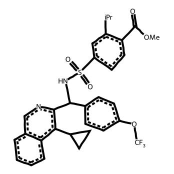 COC(=O)c1ccc(S(=O)(=O)NC(c2ccc(OC(F)(F)F)cc2)c2ncc3ccccc3c2C2CC2)cc1C(C)C